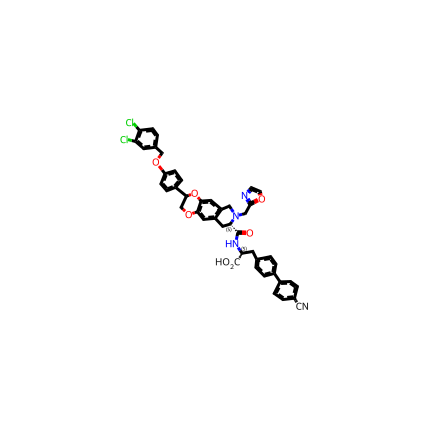 N#Cc1ccc(-c2ccc(C[C@H](NC(=O)[C@@H]3Cc4cc5c(cc4CN3Cc3ncco3)OC(c3ccc(OCc4ccc(Cl)c(Cl)c4)cc3)CO5)C(=O)O)cc2)cc1